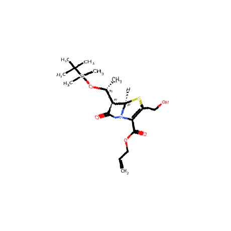 C=CCOC(=O)C1=C(CO)S[C@@H]2[C@H]([C@@H](C)O[Si](C)(C)C(C)(C)C)C(=O)N12